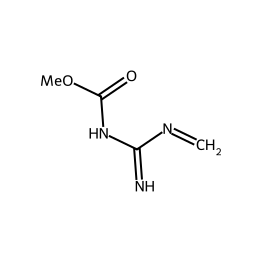 C=NC(=N)NC(=O)OC